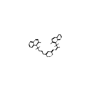 C/C(=C/C=C1C=C(/C=C/CC(C)(C)c2c(C)ccc3ccccc23)CCC/1)C(C)(C)c1c(C)ccc2ccccc12